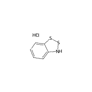 Cl.c1ccc2c(c1)NSS2